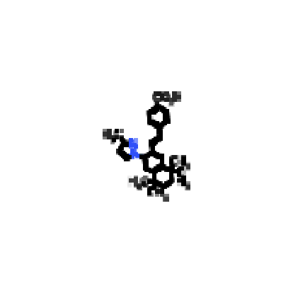 Cc1ccn(-c2cc3c(cc2C=Cc2ccc(C(=O)O)cc2)C(C)(C)CCC3(C)C)n1